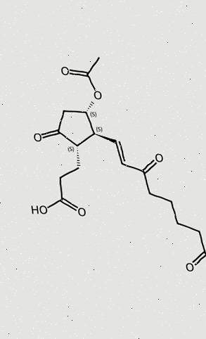 COC(=O)CCCCC(=O)C=C[C@@H]1[C@@H](OC(C)=O)CC(=O)[C@H]1CCC(=O)O